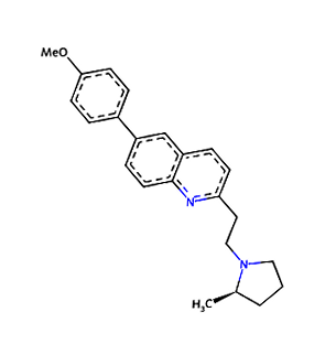 COc1ccc(-c2ccc3nc(CCN4CCC[C@H]4C)ccc3c2)cc1